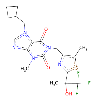 Cc1sc(C(C)(O)C(F)(F)F)nc1Cn1c(=O)c2c(ncn2CC2CCC2)n(C)c1=O